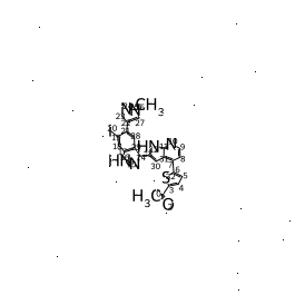 CC(=O)c1ccc(-c2ccnc3[nH]c(-c4n[nH]c5cc(I)c(-c6cnn(C)c6)cc45)cc23)s1